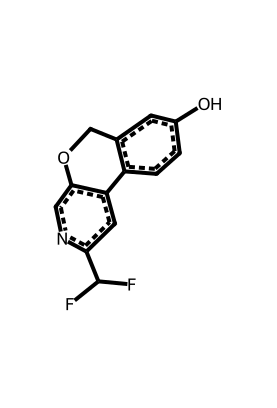 Oc1ccc2c(c1)COc1cnc(C(F)F)cc1-2